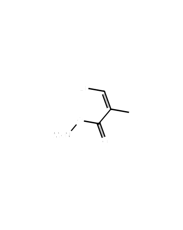 CCC=C(C)C(=O)ONC